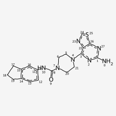 Nc1nc(N2CCN(C(=O)Nc3ccc4c(c3)CCC4)CC2)c2ncsc2n1